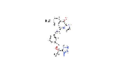 Cc1ccc(C(=O)c2nccn2C/C=C/c2cccc(CO[C@H](C)c3nnn[nH]3)c2)cc1